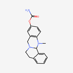 CN1c2ccc(OC(N)=O)cc2CN2CCc3ccccc3C21